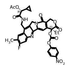 CC[C@@]1(OC(=O)Oc2ccc([N+](=O)[O-])cc2)C(=O)OCc2c1cc1n(c2=O)Cc2c-1nc1cc(F)c(C)cc1c2CNC(=O)[C@H](OC(C)=O)C1CC1